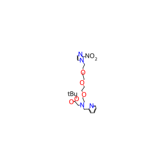 CC(C)(C)OC(=O)CN(CCOCCOCCOCCn1ccnc1[N+](=O)[O-])Cc1ccccn1